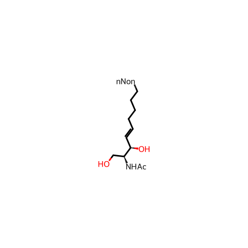 CCCCCCCCCCCCCC=C[C@@H](O)[C@H](CO)NC(C)=O